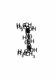 CC(C)(C)c1ccc(O)c(-n2n3c4ccc(C(=O)NCCNC(=O)c5ccc6c(c5)n5n(-c7cc(C(C)(C)C)ccc7O)n65)cc4n23)c1